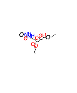 CCCCOC(=O)C(CCCCNC(=O)Nc1ccccc1)CC(CCc1ccc(CCC)cc1)C(=O)O